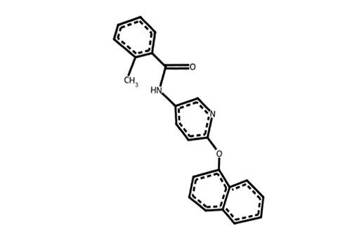 Cc1ccccc1C(=O)Nc1ccc(Oc2cccc3ccccc23)nc1